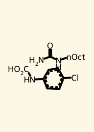 CCCCCCCCNC(N)=O.O=C(O)Nc1ccc(Cl)cc1